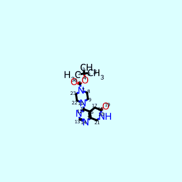 CC(C)(C)OC(=O)N1CCN(c2ncnc3c2CC(=O)NC3)CC1